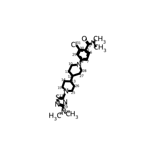 CN(C)C(=O)c1ccc(N2CCC(C3CCN(c4nc(N(C)C)ns4)CC3)CC2)cc1Cl